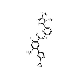 Cc1cc(F)c(C(=O)Nc2cccc(-c3nnc(C)n3C(C)C)n2)cc1-n1cnc(C2CC2)c1